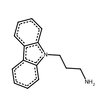 NCCCn1c2ccccc2c2ccccc21